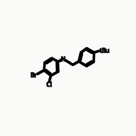 CC(C)(C)c1ccc(C[N]c2ccc(Br)c(Cl)c2)cc1